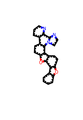 c1ccc2c(c1)oc1ccc3c(oc4ccc5c6cccnc6c6nccn6c5c43)c12